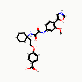 COc1cc(NC(=O)C(=O)NC2(CCOc3ccc(C(=O)O)cc3)CCCCC2)ccc1-c1cnco1